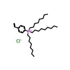 C=Cc1ccc([P+](CCCCCCCC)(CCCCCCCC)CCCCCCCCC)cc1.[Cl-]